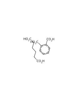 O=C(O)CCCCC(=O)O.O=C(O)c1ccccc1C(=O)O